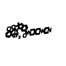 CC1(C)Cc2ccc(C(=O)N3CCC4(CC3)CCN(c3ccncc3)CC4)cc2C1NC(=O)c1c(Cl)cccc1C(F)(F)F